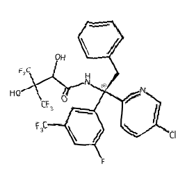 O=C(N[C@@](Cc1ccccc1)(c1cc(F)cc(C(F)(F)F)c1)c1ccc(Cl)cn1)C(O)C(O)(C(F)(F)F)C(F)(F)F